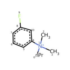 [CH2]CC[N+](C)(C)c1cccc(F)c1